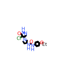 CCOc1ccc(NC(=O)NC2CCN(c3cn[nH]c(=O)c3Cl)C2)cc1